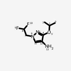 CC(C)Oc1nn(CC(F)F)cc1N